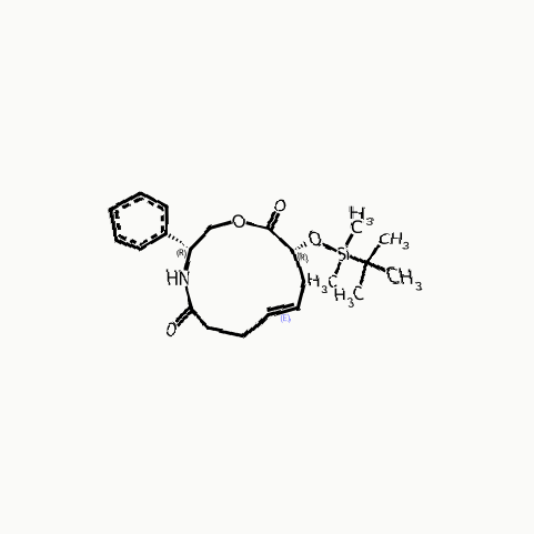 CC(C)(C)[Si](C)(C)O[C@@H]1C/C=C/CCC(=O)N[C@H](c2ccccc2)COC1=O